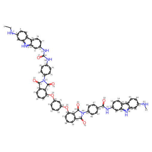 CCNc1ccc2c(c1)[nH]c1cc(NC(=O)Nc3ccc(N4C(=O)c5cccc(Oc6cccc(Oc7cccc8c7C(=O)N(c7ccc(C(=O)Nc9ccc%10c(c9)[nH]c9cc(NC)ccc9%10)cc7)C8=O)c6)c5C4=O)cc3)ccc12